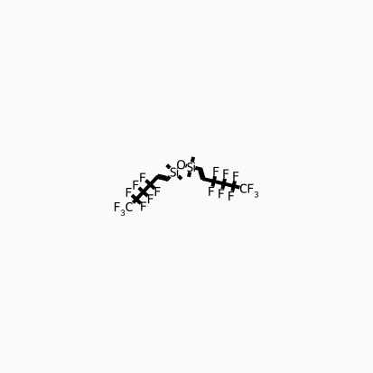 C[Si](C)(/C=C/C(F)(F)C(F)(F)C(F)(F)C(F)(F)F)O[Si](C)(C)/C=C/C(F)(F)C(F)(F)C(F)(F)C(F)(F)F